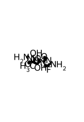 CC1(C(=O)NN)C(O)[C@H](n2cc(F)c(N)nc2=O)O[C@@H]1CO